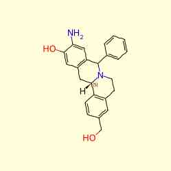 Nc1cc2c(cc1O)C[C@H]1c3ccc(CO)cc3CCN1C2c1ccccc1